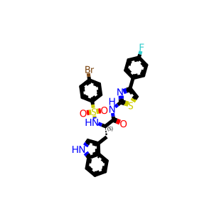 O=C(Nc1nc(-c2ccc(F)cc2)cs1)[C@H](Cc1c[nH]c2ccccc12)NS(=O)(=O)c1ccc(Br)cc1